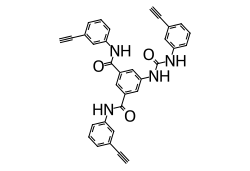 C#Cc1cccc(NC(=O)Nc2cc(C(=O)Nc3cccc(C#C)c3)cc(C(=O)Nc3cccc(C#C)c3)c2)c1